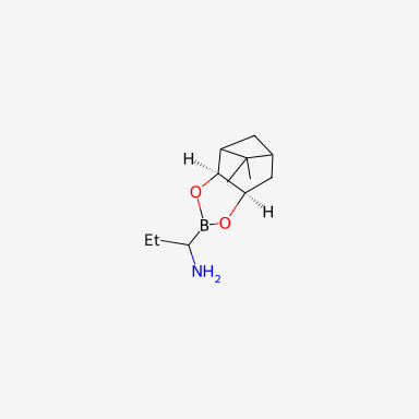 CCC(N)B1O[C@@H]2CC3CC([C@@H]2O1)C3(C)C